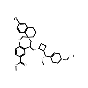 COC(=O)c1ccc2c(c1)N(C[C@@H]1CC[C@H]1[C@@H](OC)C1=CC[C@H](CO)CC1)C[C@@]1(CCCc3cc(Cl)ccc31)CO2